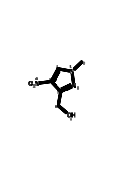 Cn1cc([N+](=O)[O-])c(CO)n1